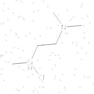 CN(C)CC[SiH](C)Cl